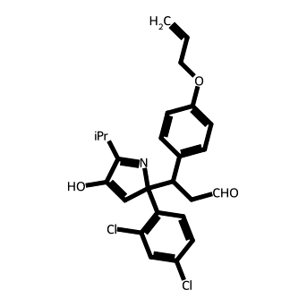 C=CCOc1ccc(C(CC=O)C2(c3ccc(Cl)cc3Cl)C=C(O)C(C(C)C)=N2)cc1